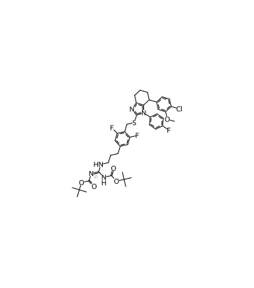 COc1cc(C2CCCc3nc(SCc4c(F)cc(CCCN/C(=N/C(=O)OC(C)(C)C)NC(=O)OC(C)(C)C)cc4F)n(-c4ccc(F)cc4)c32)ccc1Cl